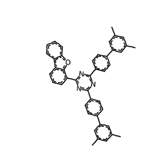 Cc1cc(C)cc(-c2ccc(-c3nc(-c4ccc(-c5cc(C)cc(C)c5)cc4)nc(-c4cccc5c4oc4ccccc45)n3)cc2)c1